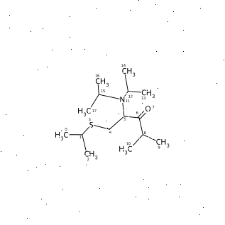 CC(C)SCC(C(=O)C(C)C)N(C(C)C)C(C)C